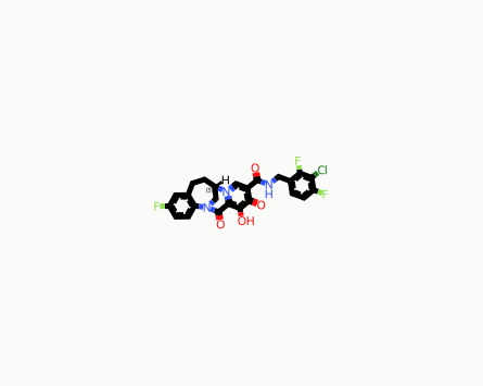 O=C(NCc1ccc(F)c(Cl)c1F)c1cn2c(c(O)c1=O)C(=O)N1C[C@@H]2CCc2cc(F)ccc21